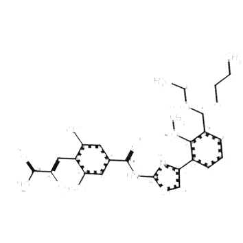 CCCC[C@@H](OCC)c1cccc(-c2csc(NC(=O)c3cc(Cl)c(C=C(C)C(=O)O)c(Cl)c3)n2)c1OC